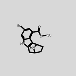 CC(C)(C)OC(=O)c1cc(Br)cc2[nH]c3c(c12)C1CCC(C3)N1